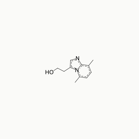 Cc1ccc(C)n2c(CCO)cnc12